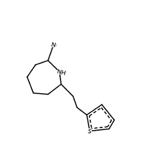 [N]C1CCCCC(CCc2cccs2)N1